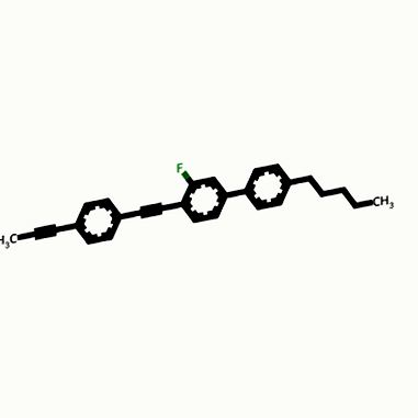 CC#Cc1ccc(C#Cc2ccc(-c3ccc(CCCCC)cc3)cc2F)cc1